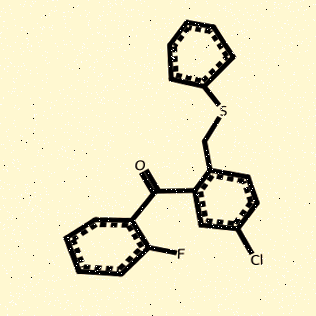 O=C(c1ccccc1F)c1cc(Cl)ccc1CSc1ccccc1